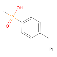 CC(C)Cc1ccc(P(C)(=O)O)cc1